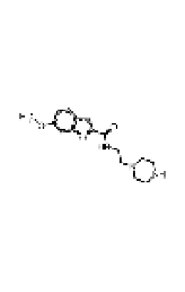 COc1ccc2cc(C(=O)NCCN3CCNCC3)oc2c1